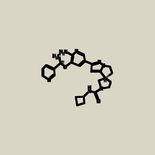 C[C@@H](Oc1cc(-c2cc3n(n2)CC[C@@]32CCN(C(=O)NC3CCC3)C2)cnc1N)c1cccnc1